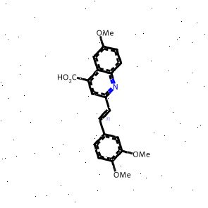 COc1ccc2nc(/C=C/c3ccc(OC)c(OC)c3)cc(C(=O)O)c2c1